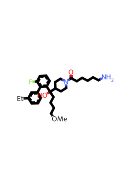 CCc1cccc(-c2c(F)cccc2C(O)(CCCCOC)C2CCN(C(=O)CCCCCN)CC2)c1